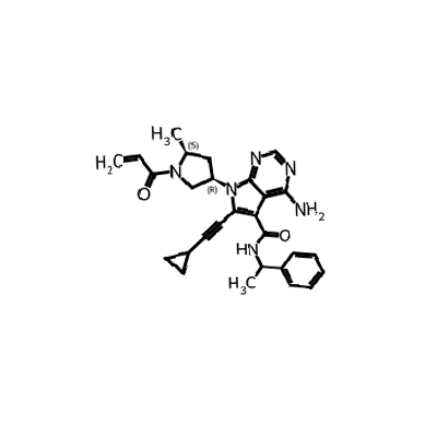 C=CC(=O)N1C[C@H](n2c(C#CC3CC3)c(C(=O)NC(C)c3ccccc3)c3c(N)ncnc32)C[C@@H]1C